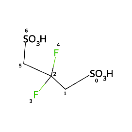 O=S(=O)(O)CC(F)(F)CS(=O)(=O)O